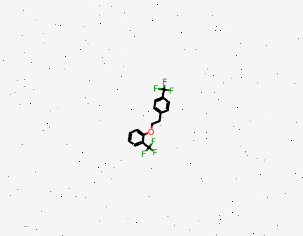 FC(F)(F)c1ccc(CCOc2ccccc2C(F)(F)F)cc1